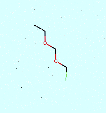 CCO[CH]OCF